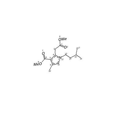 COC(=O)Cc1c(C(=O)OC)c(C)cn1CCC(C)I